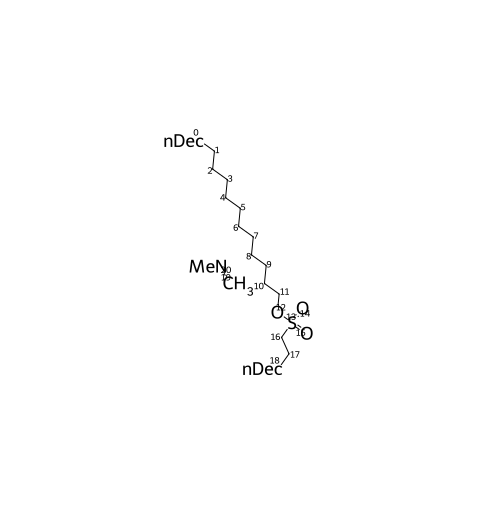 CCCCCCCCCCCCCCCCCCCCCOS(=O)(=O)CCCCCCCCCCCC.CNC